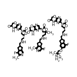 CC(C)(N)COc1cc(F)c2c(c1)CC(CNCC[C@H]1CN(c3cnc4c(n3)NC(=O)CO4)C(=O)O1)C2.Cc1ncc(F)c2c1CC(CNCCC1(C)CN(c3cnc4c(n3)NC(=O)CO4)C(=O)O1)C2.Cc1ncc2c(c1F)CC(CNCC[C@@H]1CN(c3cnc4c(n3)NC(=O)CO4)C(=O)O1)C2